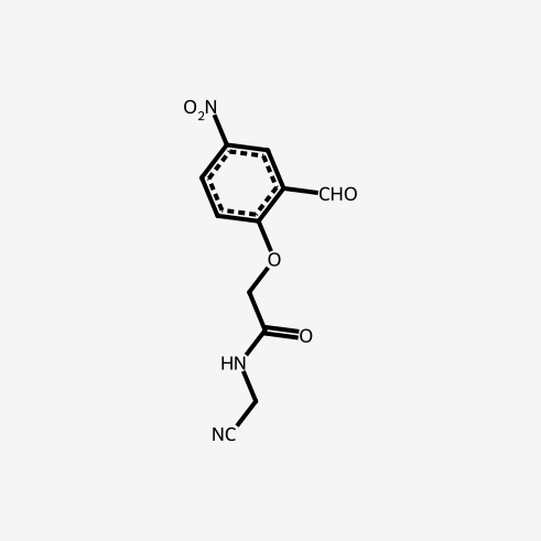 N#CCNC(=O)COc1ccc([N+](=O)[O-])cc1C=O